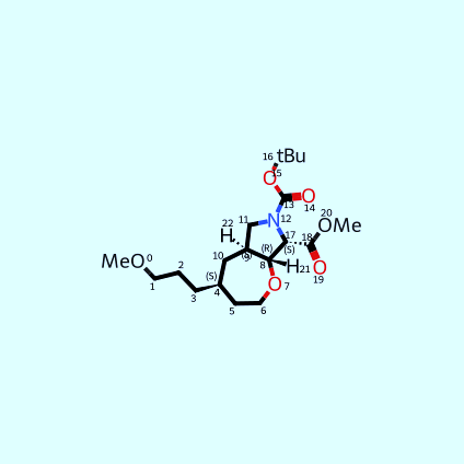 COCCC[C@@H]1CCO[C@@H]2[C@@H](C1)CN(C(=O)OC(C)(C)C)[C@@H]2C(=O)OC